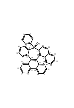 O=P1(c2ccccc2)c2ccccc2-c2c(c3ncccc3c3cccnc23)-c2c1ccc1ccccc21